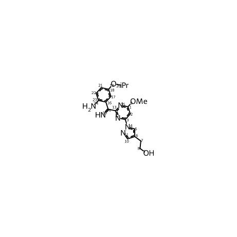 COc1cc(-n2cc(CCO)cn2)nc(C(=N)c2cc(OC(C)C)ccc2N)n1